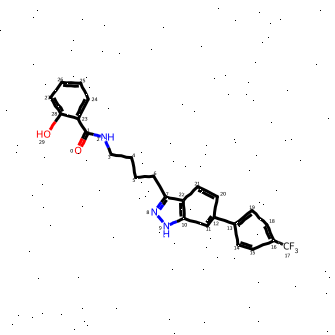 O=C(NCCCCc1n[nH]c2cc(-c3ccc(C(F)(F)F)cc3)ccc12)c1ccccc1O